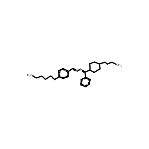 CCCCCCc1ccc(C=NN=C(c2ccccc2)C2CCC(CCCC)CC2)cc1